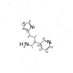 NCC(CCc1cscn1)c1cccnc1